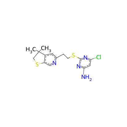 CC1(C)CSc2cnc(CCSc3nc(N)cc(Cl)n3)cc21